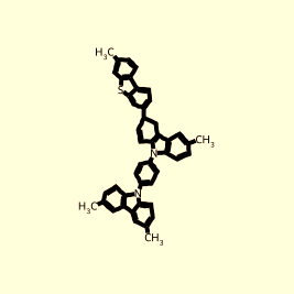 Cc1ccc2c(c1)sc1cc(C3C=Cc4c(c5cc(C)ccc5n4-c4ccc(-n5c6ccc(C)cc6c6cc(C)ccc65)cc4)C3)ccc12